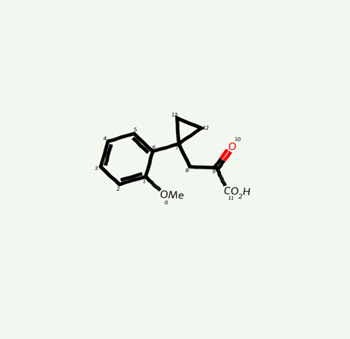 COc1ccccc1C1(CC(=O)C(=O)O)CC1